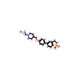 CCN1CCC(COc2ccc(-c3ccc4c(c3)CCS4(=O)=O)cc2)CC1